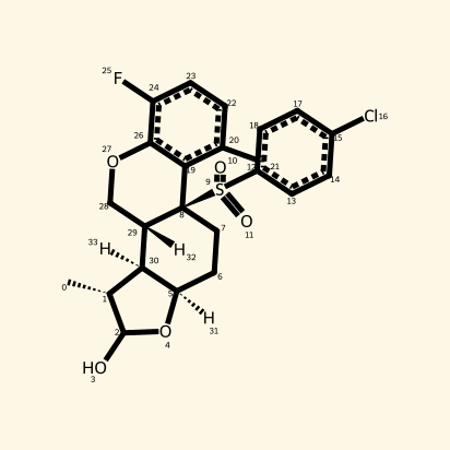 C[C@H]1C(O)O[C@@H]2CC[C@@]3(S(=O)(=O)c4ccc(Cl)cc4)c4c(F)ccc(F)c4OC[C@H]3[C@@H]21